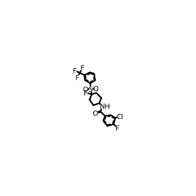 O=C(NC1CCC(F)(S(=O)(=O)c2cccc(C(F)(F)F)c2)CC1)c1ccc(F)c(Cl)c1